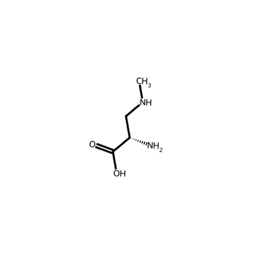 CNC[C@H](N)C(=O)O